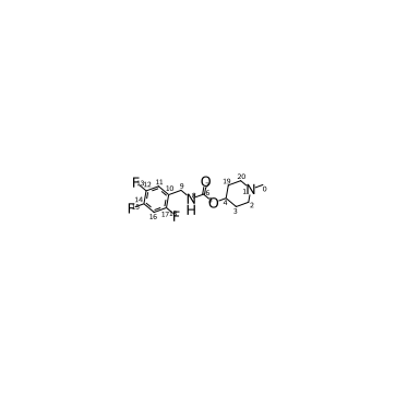 CN1CCC(OC(=O)NCc2cc(F)c(F)cc2F)CC1